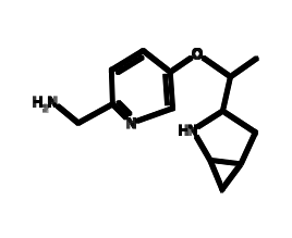 CC(Oc1ccc(CN)nc1)C1CC2CC2N1